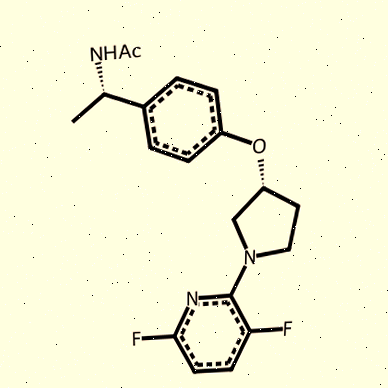 CC(=O)N[C@@H](C)c1ccc(O[C@@H]2CCN(c3nc(F)ccc3F)C2)cc1